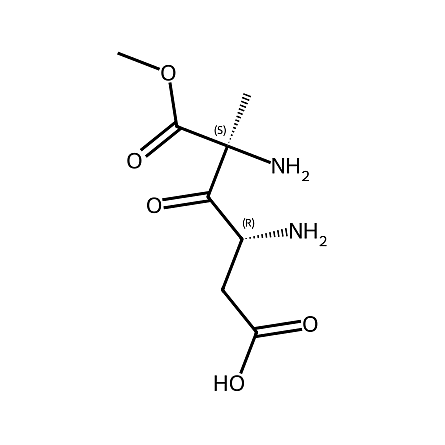 COC(=O)[C@@](C)(N)C(=O)[C@H](N)CC(=O)O